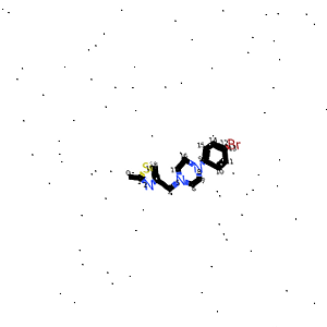 Cc1nc(CN2CCN(c3ccc(Br)cc3)CC2)cs1